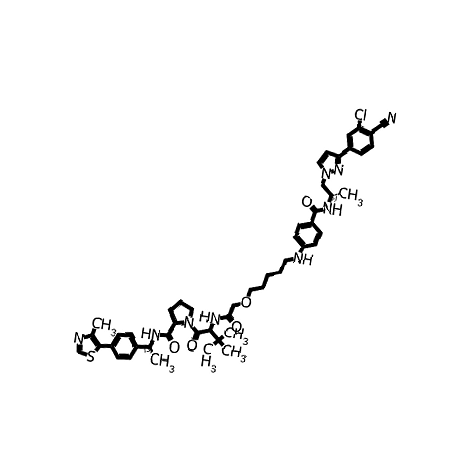 Cc1ncsc1-c1ccc([C@H](C)NC(=O)C2CCCN2C(=O)C(NC(=O)COCCCCCNc2ccc(C(=O)N[C@@H](C)Cn3ccc(-c4ccc(C#N)c(Cl)c4)n3)cc2)C(C)(C)C)cc1